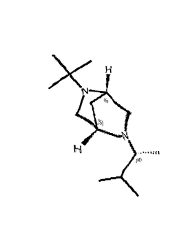 CC(C)[C@@H](C)N1C[C@@H]2C[C@H]1CN2C(C)(C)C